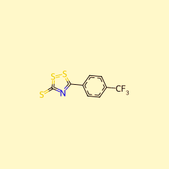 FC(F)(F)c1ccc(-c2nc(=S)ss2)cc1